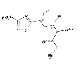 CCCCCCN(C(=O)C[C@@H](C)CC)[C@H](C[C@@H](O)c1nc(C(=O)OCC)cs1)C(C)C